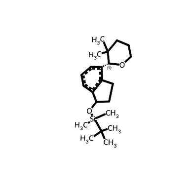 CC1(C)CCCO[C@@H]1c1cccc2c1CCC2O[Si](C)(C)C(C)(C)C